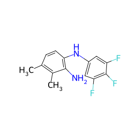 Cc1ccc(Nc2cc(F)c(F)c(F)c2)c(N)c1C